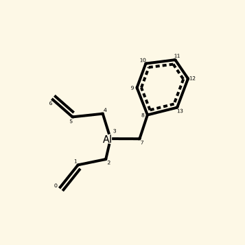 C=C[CH2][Al]([CH2]C=C)[CH2]c1ccccc1